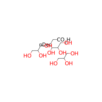 CCCCCCCCCCCC(=O)O.OCC(O)CO.OCC(O)CO.OCC(O)CO